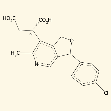 Cc1ncc2c(c1[C@H](CC(=O)O)C(=O)O)COC2c1ccc(Cl)cc1